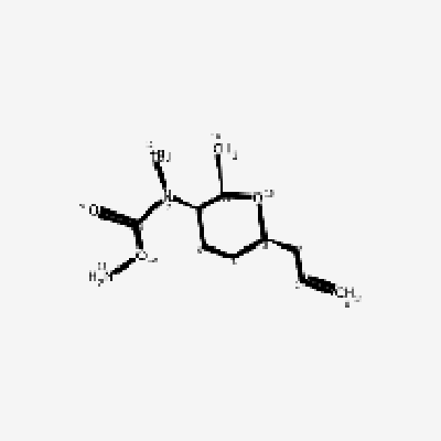 C=CC[C@H]1CC[C@@H](N(C(=O)ON)C(C)(C)C)[C@@H](C)O1